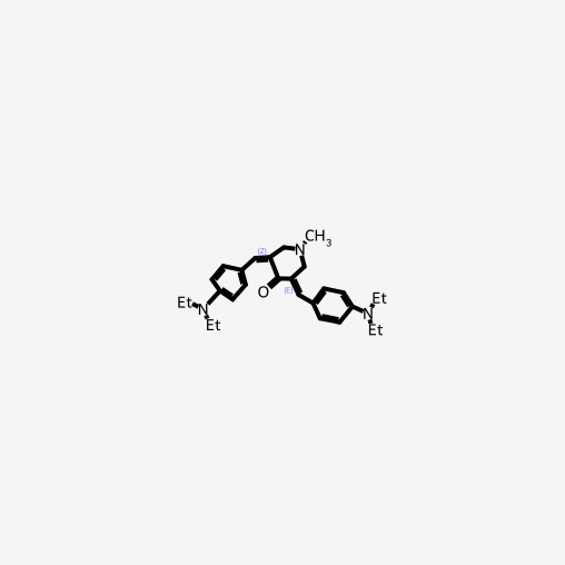 CCN(CC)c1ccc(/C=C2/CN(C)C/C(=C\c3ccc(N(CC)CC)cc3)C2=O)cc1